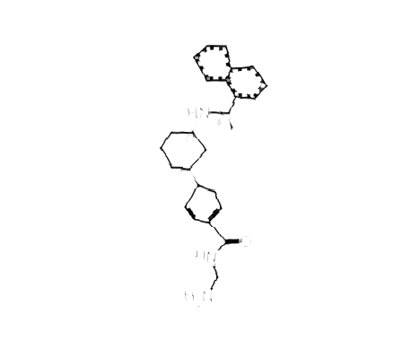 C[C@@H](N[C@H]1CCC[C@H](C2C=CC(C(=O)NCN)=CC2)C1)c1cccc2ccccc12